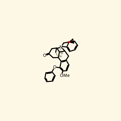 COc1ccc2c(c1Oc1ccccc1)[C@]13CCN(CC4CC4)C(C2)[C@]1(Cc1ccccc1)CCC(=O)C3